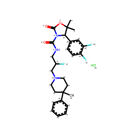 CC1(C)OC(=O)N(C(=O)NCC(F)CN2CCC(C#N)(c3ccccc3)CC2)C1c1ccc(F)c(F)c1.Cl